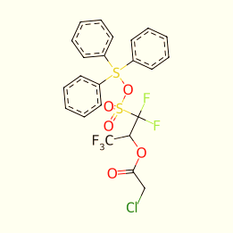 O=C(CCl)OC(C(F)(F)F)C(F)(F)S(=O)(=O)OS(c1ccccc1)(c1ccccc1)c1ccccc1